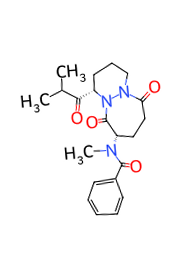 CC(C)C(=O)[C@@H]1CCCN2C(=O)CC[C@H](N(C)C(=O)c3ccccc3)C(=O)N12